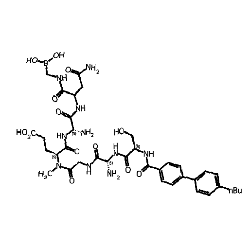 CCCCc1ccc(-c2ccc(C(=O)N[C@H](CO)C(=O)N[C@H](N)C(=O)NCC(=O)N(C)[C@@H](CCC(=O)O)C(=O)N[C@@H](N)C(=O)NC(CC(N)=O)C(=O)NCB(O)O)cc2)cc1